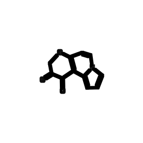 O=C1COc2ccn3cccc3c2C1=O